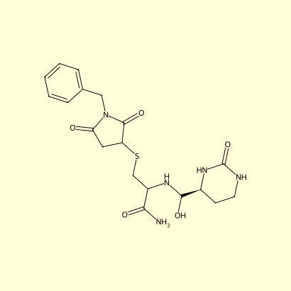 NC(=O)C(CSC1CC(=O)N(Cc2ccccc2)C1=O)NC(O)[C@@H]1CCNC(=O)N1